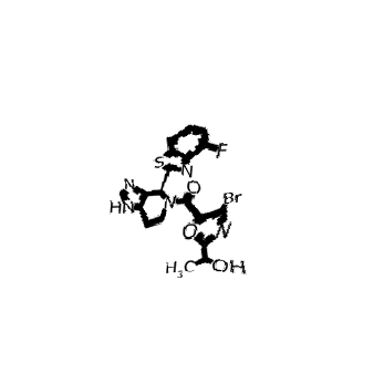 CC(O)c1nc(Br)c(C(=O)N2CCc3[nH]cnc3[C@H]2c2nc3c(F)cccc3s2)o1